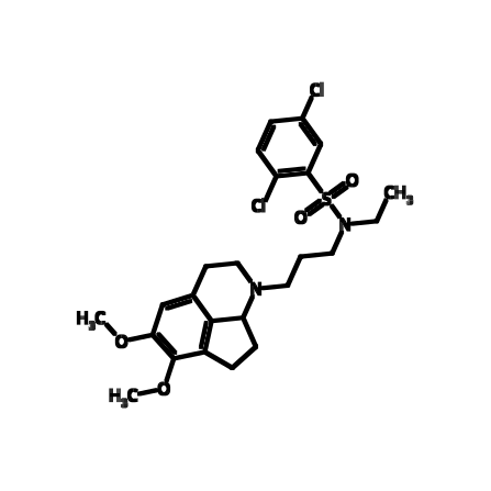 CCN(CCCN1CCc2cc(OC)c(OC)c3c2C1CC3)S(=O)(=O)c1cc(Cl)ccc1Cl